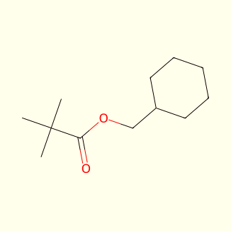 CC(C)(C)C(=O)OCC1CCCCC1